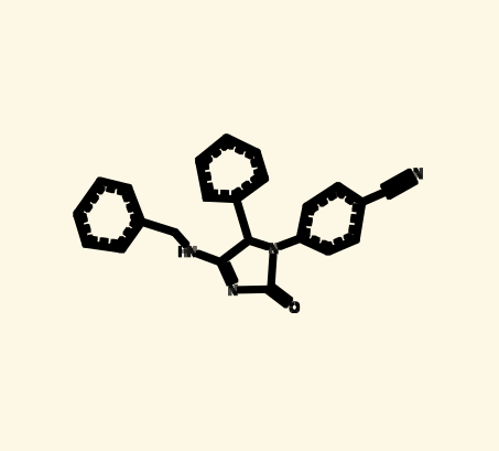 N#Cc1ccc(N2C(=O)N=C(NCc3ccccc3)C2c2ccccc2)cc1